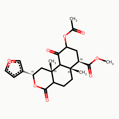 COC(=O)[C@@H]1CC(OC(C)=O)C(=O)C2[C@@]3(C)C[C@@H](c4ccoc4)OC(=O)C3CC[C@]21C